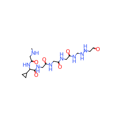 CNCC(=O)NC(C(=O)NCC(=O)NCC(=O)NCC(=O)NCNNCC=O)C1CC1